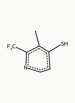 Cc1c(S)ccnc1C(F)(F)F